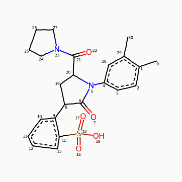 Cc1ccc(N2C(=O)C(c3ccccc3S(=O)(=O)O)CC2C(=O)N2CCCC2)cc1C